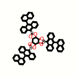 c1ccc2c(-c3c4ccccc4c(B4OC5C6OB(c7c8ccccc8c(-c8cccc9ccccc89)c8ccccc78)OC6C6OB(c7c8ccccc8c(-c8cccc9ccccc89)c8ccccc78)OC6C5O4)c4ccccc34)cccc2c1